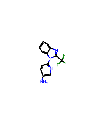 Nc1ccc(-n2c(C(F)(F)F)nc3ccccc32)nc1